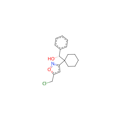 O[C@H](c1ccccc1)C1(c2cc(CCl)on2)CCCCC1